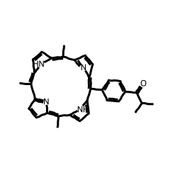 Cc1c2nc(c(C)c3ccc([nH]3)c(-c3ccc(C(=O)C(C)C)cc3)c3nc(c(C)c4ccc1[nH]4)C=C3)C=C2